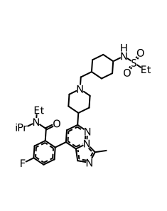 CCN(C(=O)c1cc(F)ccc1-c1cc(C2CCN(CC3CCC(NS(=O)(=O)CC)CC3)CC2)nn2c(C)ncc12)C(C)C